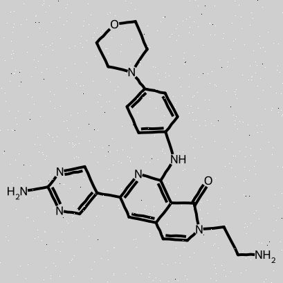 NCCn1ccc2cc(-c3cnc(N)nc3)nc(Nc3ccc(N4CCOCC4)cc3)c2c1=O